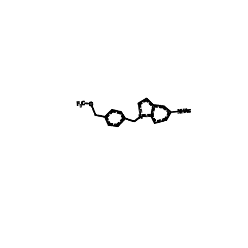 CC(=O)Nc1ccc2c(ccn2Cc2ccc(COC(F)(F)F)cc2)c1